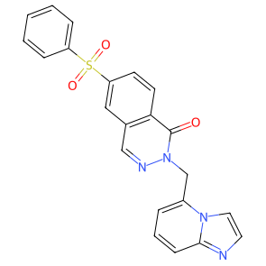 O=c1c2ccc(S(=O)(=O)c3ccccc3)cc2cnn1Cc1cccc2nccn12